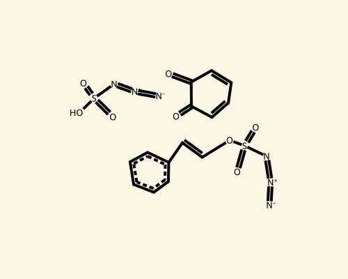 O=C1C=CC=CC1=O.[N-]=[N+]=NS(=O)(=O)O.[N-]=[N+]=NS(=O)(=O)OC=Cc1ccccc1